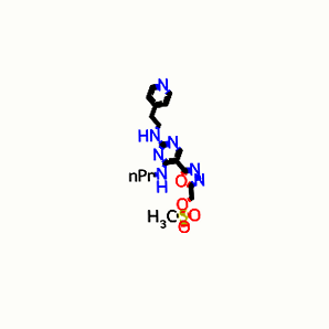 CCCNc1nc(NCCc2ccncc2)ncc1-c1nnc(COS(C)(=O)=O)o1